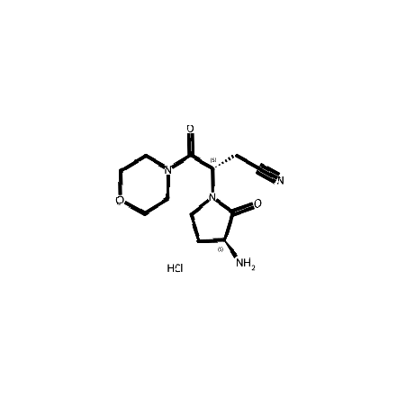 Cl.N#CC[C@@H](C(=O)N1CCOCC1)N1CC[C@H](N)C1=O